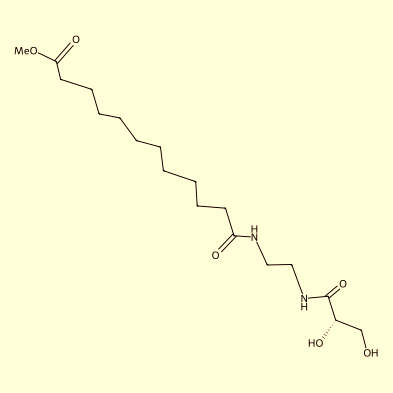 COC(=O)CCCCCCCCCCC(=O)NCCNC(=O)[C@@H](O)CO